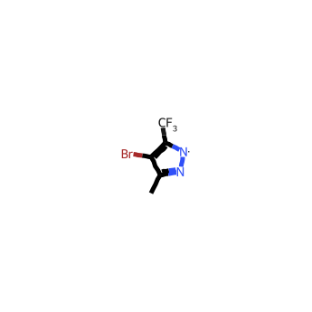 CC1=N[N]C(C(F)(F)F)=C1Br